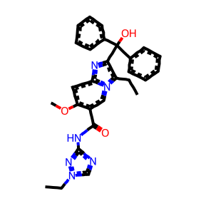 CCc1c(C(O)(c2ccccc2)c2ccccc2)nc2cc(OC)c(C(=O)Nc3ncn(CC)n3)cn12